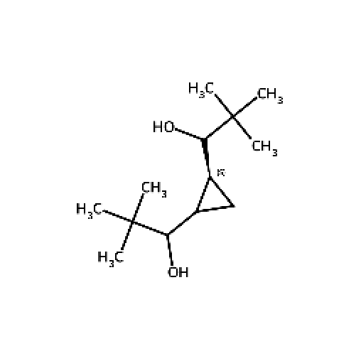 CC(C)(C)C(O)C1C[C@@H]1C(O)C(C)(C)C